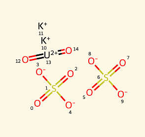 O=S(=O)([O-])[O-].O=S(=O)([O-])[O-].[K+].[K+].[O]=[U+2]=[O]